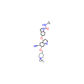 CN1CCC(COc2cc3nccc(Oc4ccc5c(ccn5C(=O)NC5CC5)c4)c3cc2C#N)CC1